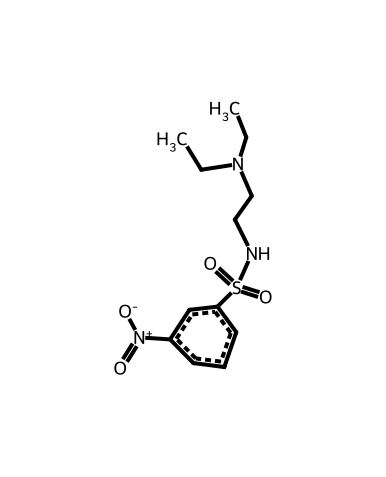 CCN(CC)CCNS(=O)(=O)c1cccc([N+](=O)[O-])c1